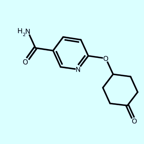 NC(=O)c1ccc(OC2CCC(=O)CC2)nc1